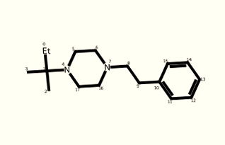 CCC(C)(C)N1CCN(CCc2ccccc2)CC1